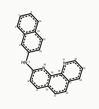 c1ccc2cc(Nc3ccc4ccc5cccnc5c4n3)ccc2c1